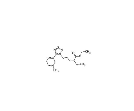 CCOC(=O)C(CC)CCSc1nsnc1C1=CCCN(C)C1